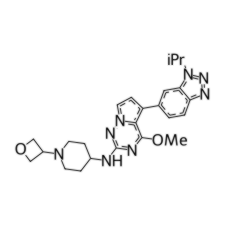 COc1nc(NC2CCN(C3COC3)CC2)nn2ccc(-c3ccc4nnn(C(C)C)c4c3)c12